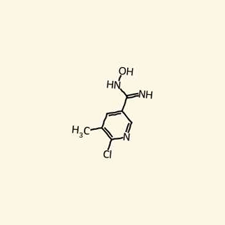 Cc1cc(C(=N)NO)cnc1Cl